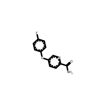 NC(=O)c1ccc(Oc2ccc(F)cc2)cn1